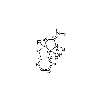 CN=C1SC2(F)Cc3ccccc3C2(O)N1C